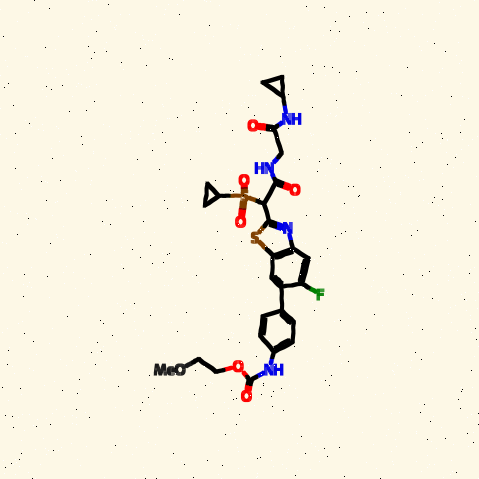 COCCOC(=O)Nc1ccc(-c2cc3sc(C(C(=O)NCC(=O)NC4CC4)S(=O)(=O)C4CC4)nc3cc2F)cc1